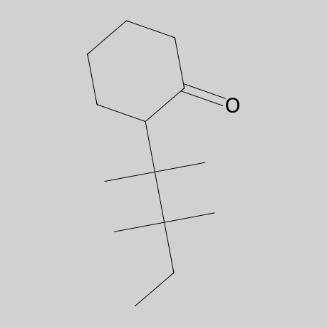 CCC(C)(C)C(C)(C)C1CCCCC1=O